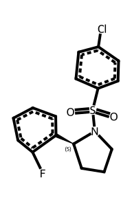 O=S(=O)(c1ccc(Cl)cc1)N1CCC[C@H]1c1ccccc1F